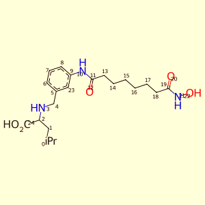 CC(C)CC(NCc1cccc(NC(=O)CCCCCCC(=O)NO)c1)C(=O)O